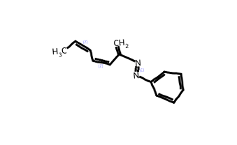 C=C(/C=C\C=C/C)/N=N/c1ccccc1